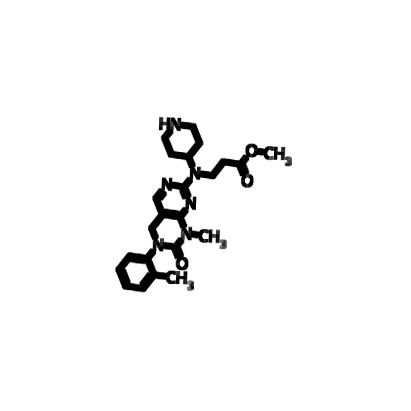 COC(=O)CCN(c1ncc2c(n1)N(C)C(=O)N(c1ccccc1C)C2)C1CCNCC1